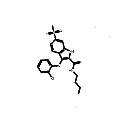 CCCCNC(=O)c1[nH]c2cc(S(C)(=O)=O)ccc2c1Sc1ccccc1Cl